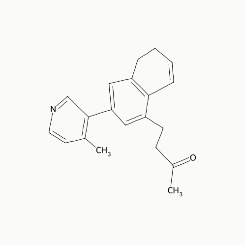 CC(=O)CCc1cc(-c2cnccc2C)cc2c1C=CCC2